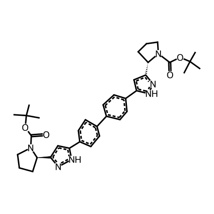 CC(C)(C)OC(=O)N1CCC[C@@H]1c1cc(-c2ccc(-c3ccc(-c4cc([C@@H]5CCCN5C(=O)OC(C)(C)C)n[nH]4)cc3)cc2)[nH]n1